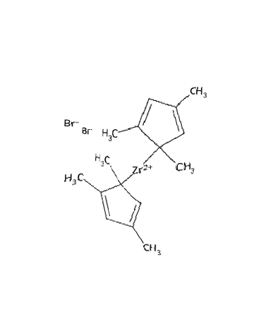 CC1=C[C](C)([Zr+2][C]2(C)C=C(C)C=C2C)C(C)=C1.[Br-].[Br-]